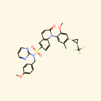 COc1ccc(CN(c2ncccn2)S(=O)(=O)c2ccc3c(ccc(=O)n3-c3cc(C)c([C@@H]4C[C@H]4C(F)(F)F)cc3OC)c2)cc1